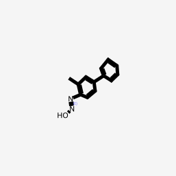 Cc1cc(-c2[c]cc[c]c2)ccc1/N=N/O